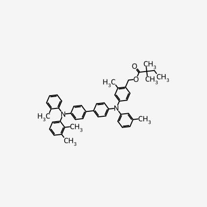 CCC(C)(C)C(=O)OCc1ccc(N(c2ccc(-c3ccc(N(c4ccccc4C)c4cccc(C)c4C)cc3)cc2)c2cccc(C)c2)cc1C